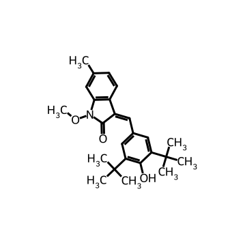 CON1C(=O)C(=Cc2cc(C(C)(C)C)c(O)c(C(C)(C)C)c2)c2ccc(C)cc21